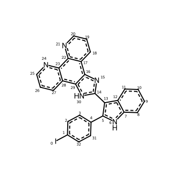 Ic1ccc(-c2[nH]c3ccccc3c2-c2nc3c4cccnc4c4ncccc4c3[nH]2)cc1